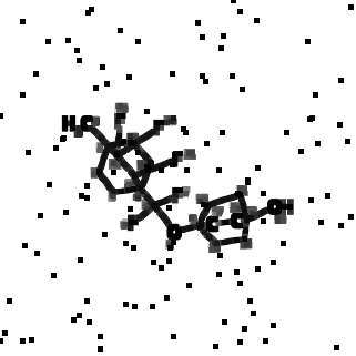 CC12CCC(C(F)(F)OC34CCC(O)(CC3)CC4)(CC1)C(F)C2(F)F